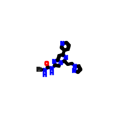 CCNC(=O)Nc1cn2c(CCn3cccn3)nc(-c3cccnc3)cc2n1